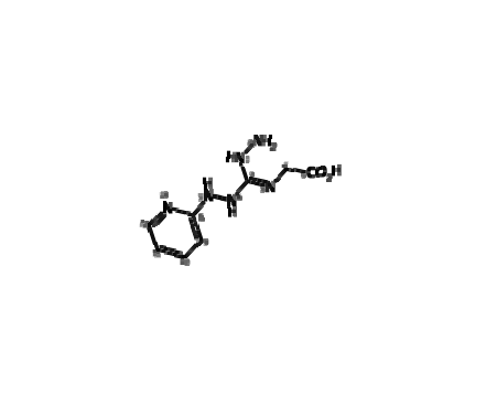 NN/C(=N\CC(=O)O)NNc1ccccn1